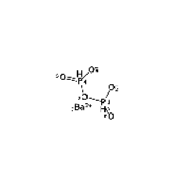 O=[PH]([O-])O[PH](=O)[O-].[Ba+2]